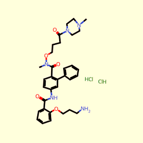 CN1CCN(C(=O)CCCON(C)C(=O)c2ccc(NC(=O)c3ccccc3OCCCN)cc2-c2ccccc2)CC1.Cl.Cl